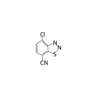 N#Cc1ccc(Cl)c2nnsc12